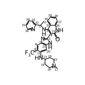 CC(Nc1c(-c2nc3cc(C(F)(F)F)c(NC4CCN(C)CC4)cc3[nH]2)c(=O)[nH]c2ccccc12)c1ccccn1